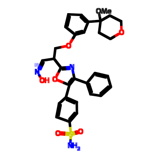 COC1(c2cccc(OCC(/C=N\O)c3nc(-c4ccccc4)c(-c4ccc(S(N)(=O)=O)cc4)o3)c2)CCOCC1